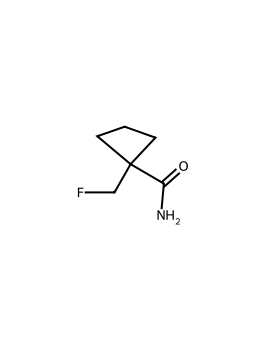 NC(=O)C1(CF)CCC1